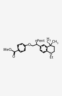 CCCCCC(COc1ccc(C(=O)OC)cc1)c1ccc2c(c1)C(C)(C)CCN2CC